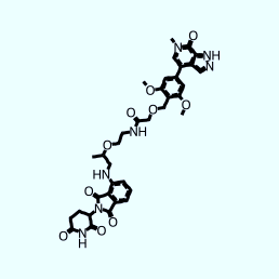 COc1cc(-c2cn(C)c(=O)c3[nH]ncc23)cc(OC)c1COCC(=O)NCCOC(C)CNc1cccc2c1C(=O)N(C1CCC(=O)NC1=O)C2=O